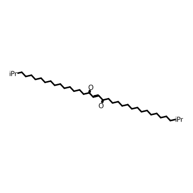 CC(C)CCCCCCCCCCCCCCC(=O)C=CC(=O)CCCCCCCCCCCCCCC(C)C